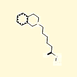 O=C(CCCCCN1CCc2ccccc2C1)NO